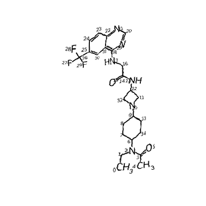 CCN(C(C)=O)C1CCC(N2CC(NC(=O)CNc3ncnc4ccc(C(F)(F)F)cc34)C2)CC1